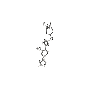 Cc1ccn(-c2ccc(-c3nnc(OC4CC5C(C)C(F)C(C4)N5C)s3)c(O)c2)n1